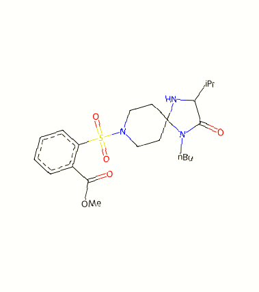 CCCCN1C(=O)C(C(C)C)NC12CCN(S(=O)(=O)c1ccccc1C(=O)OC)CC2